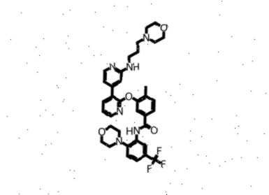 Cc1ccc(C(=O)Nc2cc(C(F)(F)F)ccc2N2CCOCC2)cc1Oc1ncccc1-c1ccnc(NCCCN2CCOCC2)c1